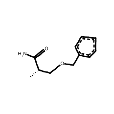 C[C@@H](COCc1ccccc1)C(N)=O